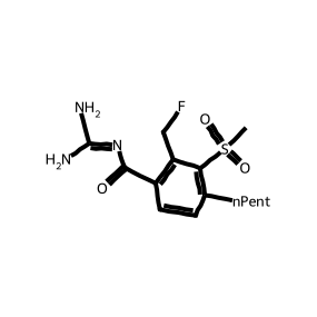 CCCCCc1ccc(C(=O)N=C(N)N)c(CF)c1S(C)(=O)=O